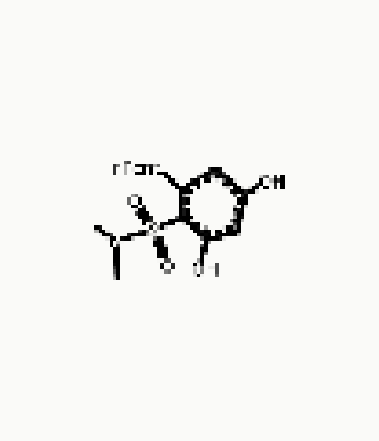 CCCCCc1cc(O)cc(O)c1S(=O)(=O)N(C)C